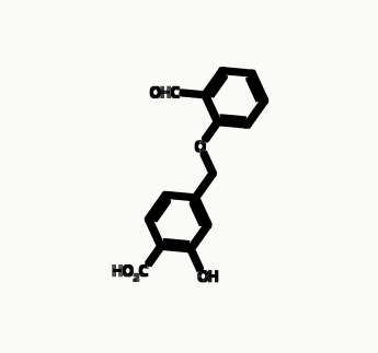 O=Cc1ccccc1OCc1ccc(C(=O)O)c(O)c1